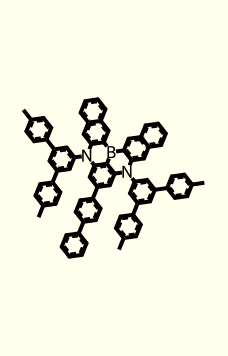 Cc1ccc(-c2cc(-c3ccc(C)cc3)cc(N3c4cc5ccccc5cc4B4c5cc6ccccc6cc5N(c5cc(-c6ccc(C)cc6)cc(-c6ccc(C)cc6)c5)c5cc(-c6ccc(-c7ccccc7)cc6)cc3c54)c2)cc1